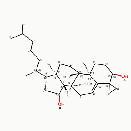 CC(C)CCC[C@@H](C)[C@H]1CC(O)[C@H]2[C@@H]3CC=C4C5(CC5)[C@H](O)CC[C@]4(C)[C@H]3CC[C@]12C